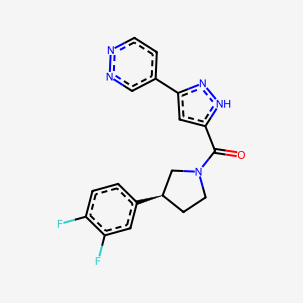 O=C(c1cc(-c2ccnnc2)n[nH]1)N1CC[C@@H](c2ccc(F)c(F)c2)C1